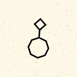 C1CCCC([C]2CCC2)CCC1